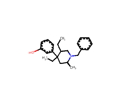 CCC1CN(Cc2ccccc2)C(C)CC1(CC)c1cccc(O)c1